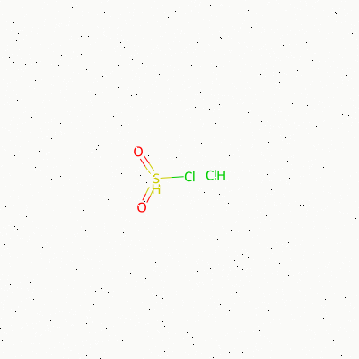 Cl.O=[SH](=O)Cl